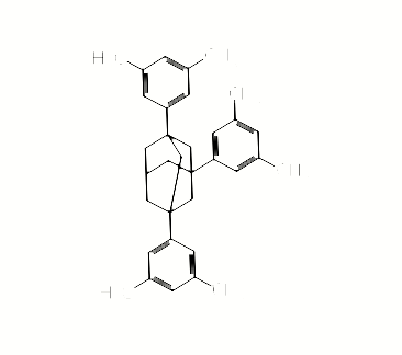 Cc1cc(C)cc(C23CC4CC(c5cc(C)cc(C)c5)(C2)CC(c2cc(C)cc(C)c2)(C4)C3)c1